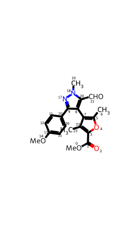 COC(=O)c1oc(C)c(-c2c(-c3ccc(OC)cc3)nn(C)c2C=O)c1C